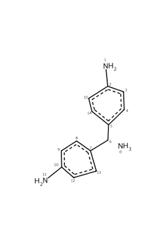 N.Nc1ccc(Cc2ccc(N)cc2)cc1